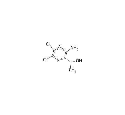 CC(O)c1nc(Cl)c(Cl)nc1N